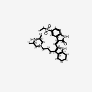 CCS(=O)(=O)c1ccc2c(c1)/C(=C/c1[nH]c3c(c1CCCN1CC(C)NC(C)C1)CCCC3)C(=O)N2